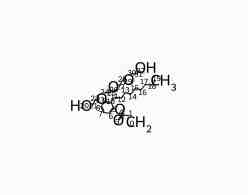 C=CC(=O)Oc1ccccc1CCCCCCCCC.OCCOCCOCCOCCO